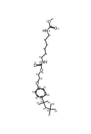 COC(=O)NCCCCCCNC(=O)OCCOc1ccc(C(C)(C)CC(C)(C)C)cc1